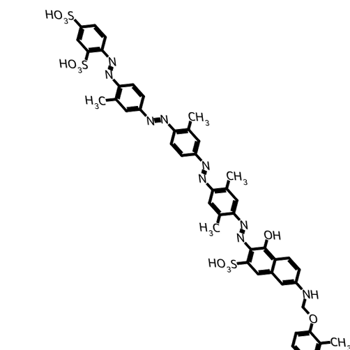 Cc1cc(N=Nc2cc(C)c(N=Nc3c(S(=O)(=O)O)cc4cc(NCOc5ccccc5C)ccc4c3O)cc2C)ccc1N=Nc1ccc(N=Nc2ccc(S(=O)(=O)O)cc2S(=O)(=O)O)c(C)c1